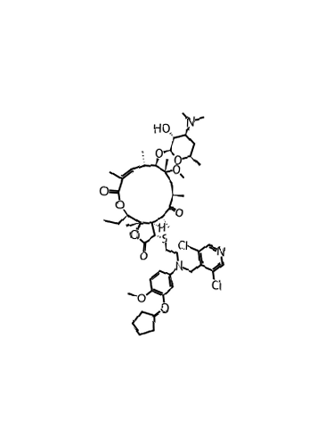 CC[C@H]1OC(=O)/C(C)=C\[C@H](C)[C@@H](O[C@@H]2O[C@H](C)C[C@H](N(C)C)[C@H]2O)[C@](C)(OC)C[C@@H](C)C(=O)[C@H](C)[C@H]2[C@H](SCCN(Cc3c(Cl)cncc3Cl)c3ccc(OC)c(OC4CCCC4)c3)C(=O)O[C@@]21C